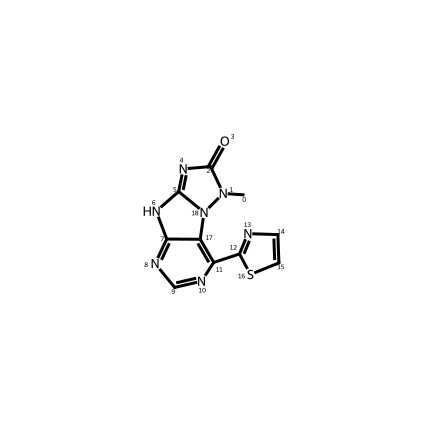 Cn1c(=O)nc2[nH]c3ncnc(-c4nccs4)c3n21